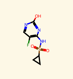 O=S(=O)(Nc1nc(O)ncc1F)C1CC1